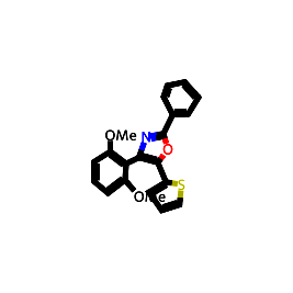 COc1cccc(OC)c1-c1nc(-c2ccccc2)oc1-c1cccs1